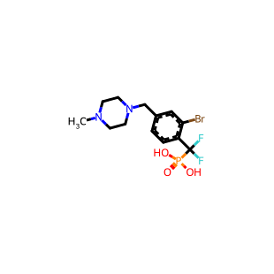 CN1CCN(Cc2ccc(C(F)(F)P(=O)(O)O)c(Br)c2)CC1